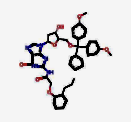 CCCc1ccccc1OCC(=O)Nc1nc2c(ncn2[C@H]2C[C@H](O)[C@@H](COC(c3ccccc3)(c3ccc(OC)cc3)c3ccc(OC)cc3)O2)c(=O)[nH]1